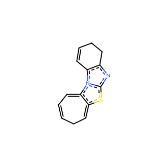 C1=CCC=c2sc3nc4c(n3c2=C1)C=CCC4